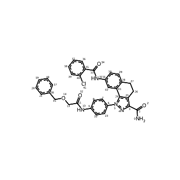 NC(=O)c1nn(-c2ccc(NC(=O)COCc3ccccc3)cc2)c2c1CCc1ccc(NC(=O)c3ccccc3Cl)cc1-2